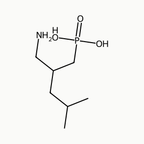 CC(C)CC(CN)CP(=O)(O)O